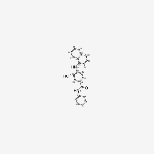 Cl.O=C(Nc1ccccc1)c1ccc(Nc2ncnc3ccccc23)cc1